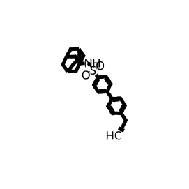 C#CCc1ccc(-c2ccc(S(=O)(=O)NC34CC5CC(CC(C5)C3)C4)cc2)cc1